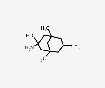 CC1CC2(C)CC(C)(N)CC(C)(C1)C2